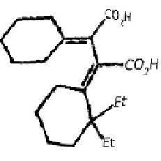 CCC1(CC)CCCCC1=C(C(=O)O)C(C(=O)O)=C1CCCCC1